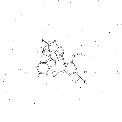 COc1cc(C(F)(F)F)cc(C2CC2)c1C(=O)N[C@@]1(c2ccccc2)CC[C@@H]2CC[C@H]1N2C